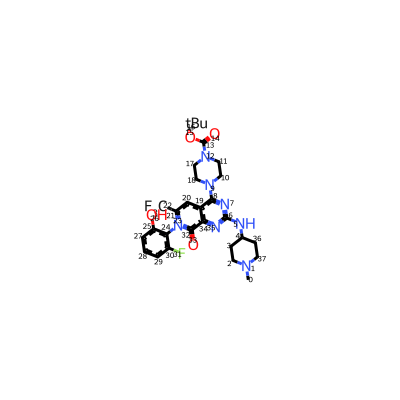 CN1CCC(Nc2nc(N3CCN(C(=O)OC(C)(C)C)CC3)c3cc(C(F)(F)F)n(-c4c(O)cccc4F)c(=O)c3n2)CC1